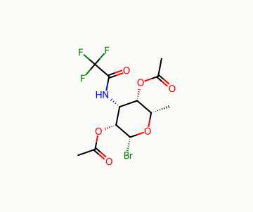 CC(=O)O[C@@H]1[C@H](NC(=O)C(F)(F)F)[C@H](OC(C)=O)[C@H](C)O[C@@H]1Br